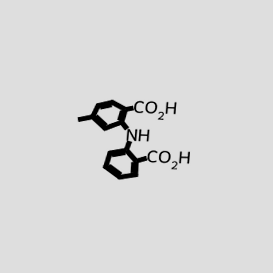 Cc1ccc(C(=O)O)c(Nc2ccccc2C(=O)O)c1